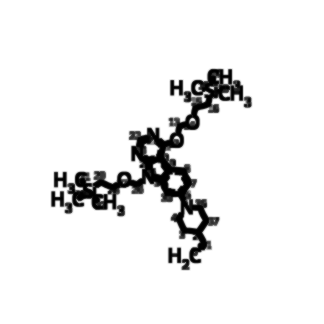 C=CC1CCN(c2ccc3c4c(OCOCC[Si](C)(C)C)ncnc4n(COCC[Si](C)(C)C)c3c2)CC1